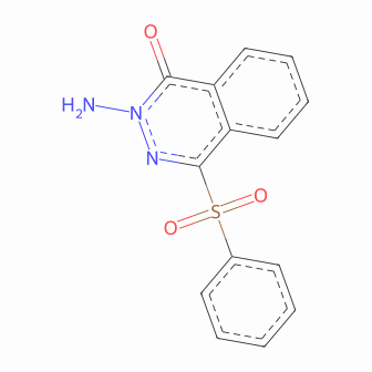 Nn1nc(S(=O)(=O)c2ccccc2)c2ccccc2c1=O